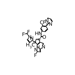 C[C@@]1(c2ccn(C(F)F)n2)C[C@@H](C(=O)Nc2ccc(-c3ncccn3)c(C(F)(F)F)c2)c2cnc3cc(F)nn3c21